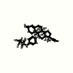 CC#C[C@]1(O)CC[C@H]2[C@@H]3C=CC4=CC(=O)CC[C@@H]4[C@H]3[C@@H](c3ccc(OS(=O)(=O)C(F)(F)F)cc3)C[C@@]21C